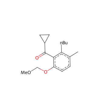 CCCCc1c(C)ccc(OCOC)c1C(=O)C1CC1